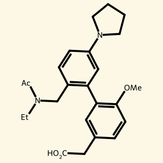 CCN(Cc1ccc(N2CCCC2)cc1-c1cc(CC(=O)O)ccc1OC)C(C)=O